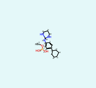 CCCCOP(O)O.c1cc(C2CCCCC2)ccc1N=C1NCCCN1